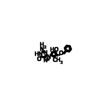 C=C1[C@H](COCc2ccccc2)[C@@H](O)C[C@@H]1n1cnc2c(=O)[nH]c(N)nc21